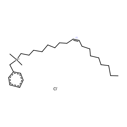 CCCCCCCC/C=C\CCCCCCCC[N+](C)(C)Cc1ccccc1.[Cl-]